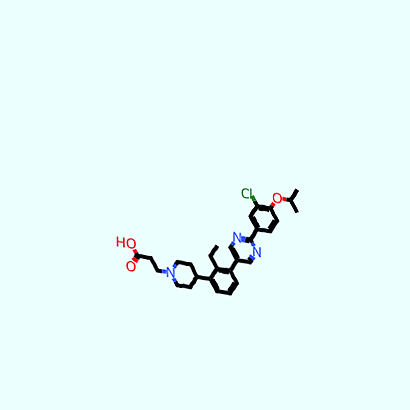 CCc1c(-c2cnc(-c3ccc(OC(C)C)c(Cl)c3)nc2)cccc1C1CCN(CCC(=O)O)CC1